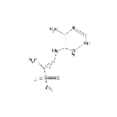 C/C(=C\NC1=C(N)N=CNN1)S(C)(=O)=O